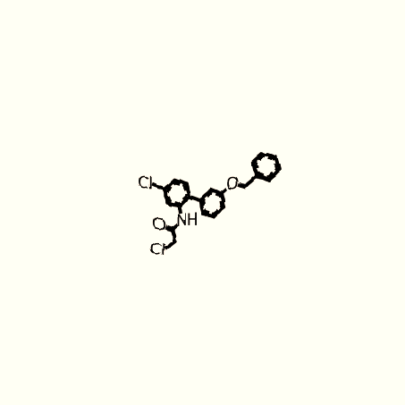 O=C(CCl)Nc1cc(Cl)ccc1-c1cccc(OCc2ccccc2)c1